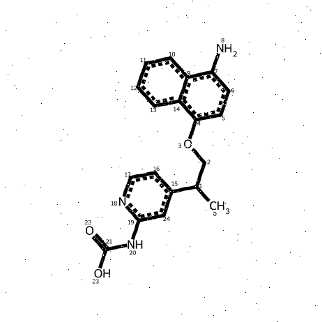 CC(COc1ccc(N)c2ccccc12)c1ccnc(NC(=O)O)c1